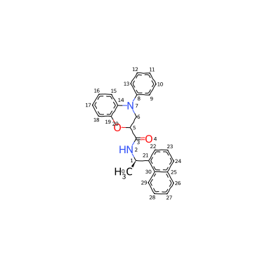 C[C@@H](NC(=O)C1CN(c2ccccc2)c2ccccc2O1)c1cccc2ccccc12